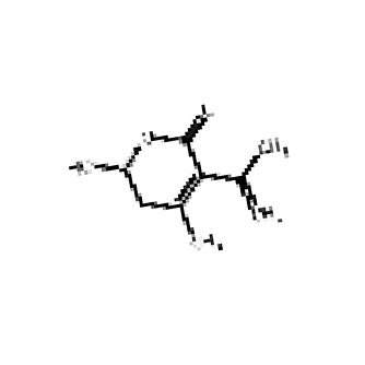 C=C(C)C1=C(C)CC(O)OC1=O